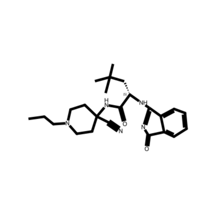 CCCN1CCC(C#N)(NC(=O)[C@H](CC(C)(C)C)NC2=NC(=O)c3ccccc32)CC1